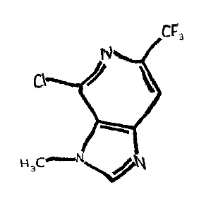 Cn1cnc2cc(C(F)(F)F)nc(Cl)c21